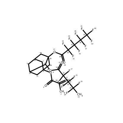 C=C(C)C(=O)OC12CC3CC(C1)C(OC(=O)C(F)(F)C(F)(F)C(C)(F)F)C(OC(=O)C(F)(F)C(F)(F)C(F)(F)C(F)(F)F)(C3)C2